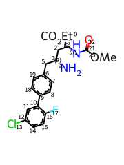 CCOC(=O)[C@@H](C[C@H](N)Cc1ccc(-c2cc(Cl)ccc2F)cc1)NC(=O)OC